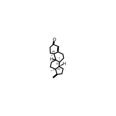 C=C1CC[C@H]2[C@]3(C)CCC4=CC(=O)CC[C@]4(C)[C@H]3CC[C@]12C